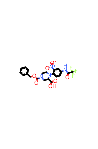 O=C(O)C1CN(C(=O)OCc2ccccc2)CCN1c1ccc(NC(=O)C(F)(F)F)cc1[N+](=O)[O-]